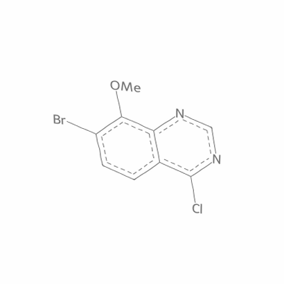 COc1c(Br)ccc2c(Cl)ncnc12